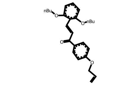 C=CCOc1ccc(C(=O)C=Cc2c(OCCCC)cccc2OCCCC)cc1